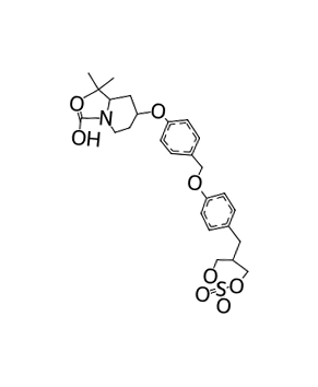 CC(C)(C)C1CC(Oc2ccc(COc3ccc(CC4COS(=O)(=O)OC4)cc3)cc2)CCN1C(=O)O